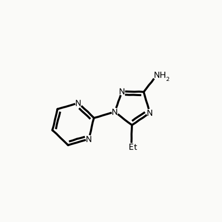 [CH2]Cc1nc(N)nn1-c1ncccn1